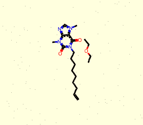 C=CCCCCCCCn1c(=O)c2c(ncn2C)n(C)c1=O.CCOCC